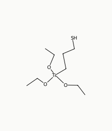 CC[O][Ti]([CH2]CCS)([O]CC)[O]CC